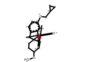 COC1CCC2(CC1)Cc1ccc(OCC3CC3)cc1C21NC(=O)NC1=O